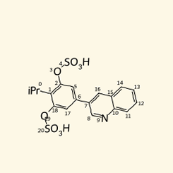 CC(C)c1c(OS(=O)(=O)O)cc(-c2cnc3ccccc3c2)cc1OS(=O)(=O)O